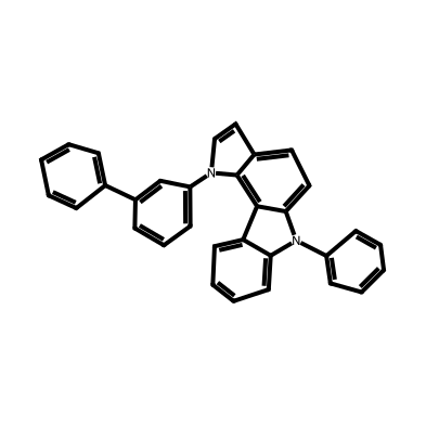 c1ccc(-c2cccc(-n3ccc4ccc5c(c6ccccc6n5-c5ccccc5)c43)c2)cc1